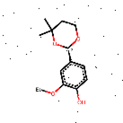 CCOc1cc([C@@H]2OCCC(C)(C)O2)ccc1O